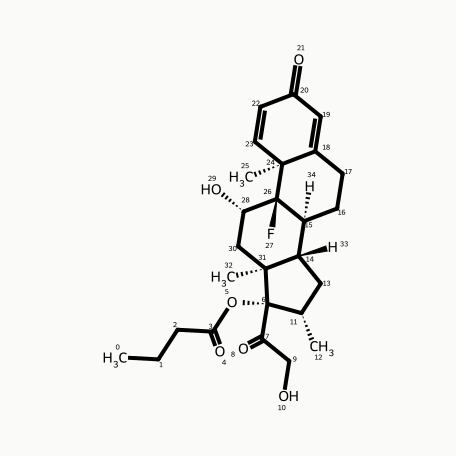 CCCC(=O)O[C@@]1(C(=O)CO)[C@@H](C)C[C@H]2[C@@H]3CCC4=CC(=O)C=C[C@]4(C)[C@@]3(F)[C@@H](O)C[C@@]21C